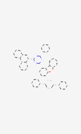 C1=C(c2ccccc2)CC(c2ccc(-c3nc(-c4ccccc4)nc(-c4cc5ccccc5c5ccccc45)n3)c3c2oc2ccccc23)C(c2ccccc2)=C1